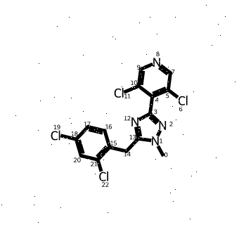 Cn1nc(-c2c(Cl)cncc2Cl)nc1Cc1ccc(Cl)cc1Cl